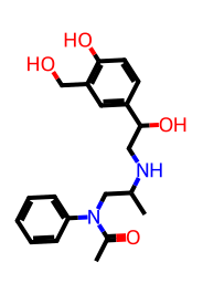 CC(=O)N(CC(C)NCC(O)c1ccc(O)c(CO)c1)c1ccccc1